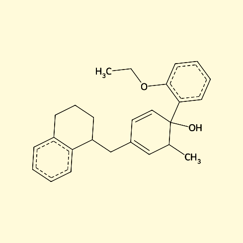 CCOc1ccccc1C1(O)C=CC(CC2CCCc3ccccc32)=CC1C